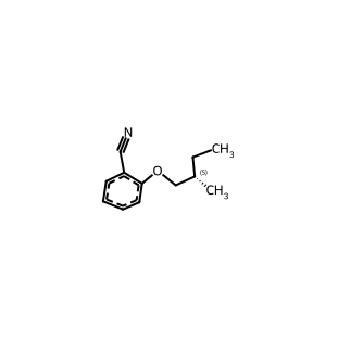 CC[C@H](C)COc1ccccc1C#N